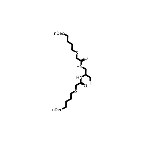 CCCCCCCCCCCCCCSCC(=O)NCC(CI)NC(=O)CSCCCCCCCCCCCCCC